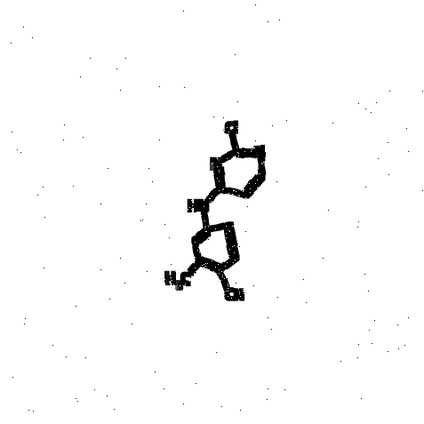 Cc1cc(Nc2ccnc(Cl)n2)ccc1C#N